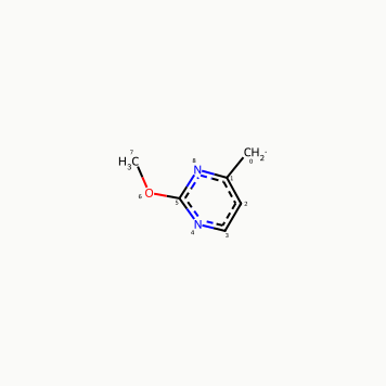 [CH2]c1ccnc(OC)n1